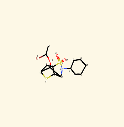 CC(Br)OC1C2CC3C(S2)C1N(C1CCCCC1)S3(=O)=O